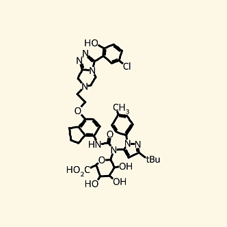 Cc1ccc(-n2nc(C(C)(C)C)cc2N(C(=O)Nc2ccc(OCCN3CCn4c(nnc4-c4cc(Cl)ccc4O)C3)c3c2CCC3)C2OC(C(=O)O)C(O)C(O)C2O)cc1